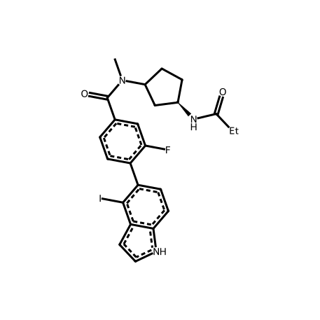 CCC(=O)N[C@@H]1CCC(N(C)C(=O)c2ccc(-c3ccc4[nH]ccc4c3I)c(F)c2)C1